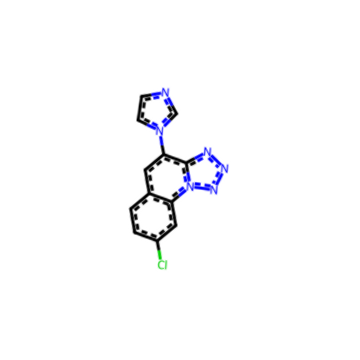 Clc1ccc2cc(-n3ccnc3)c3nnnn3c2c1